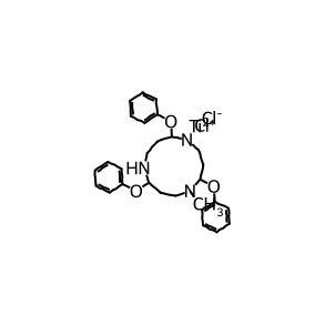 CN1CCC(Oc2ccccc2)NCCC(Oc2ccccc2)[N]([Ti+2])CCC1Oc1ccccc1.[Cl-].[Cl-]